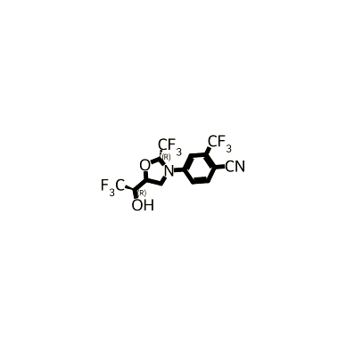 N#Cc1ccc(N2CC([C@@H](O)C(F)(F)F)O[C@@H]2C(F)(F)F)cc1C(F)(F)F